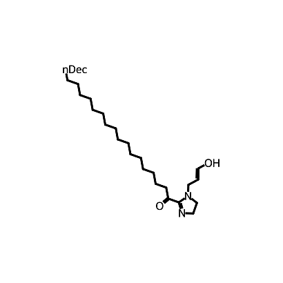 CCCCCCCCCCCCCCCCCCCCCCCCCCC(=O)C1=NCCN1CC=CO